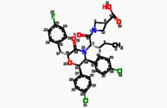 CCC[C@@H](C(=O)N1CC(C(=O)O)C1)N1C(=O)[C@@H](Cc2ccc(F)cc2)O[C@H](c2ccc(Cl)cc2)[C@@H]1c1ccc(Cl)cc1